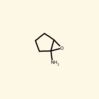 NC12CCCC1O2